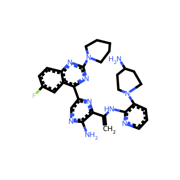 C=C(Nc1ncccc1N1CCC(N)CC1)c1nc(-c2nc(N3CCCCC3)nc3ccc(F)cc23)cnc1N